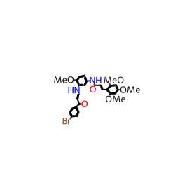 COc1cc(OC)c(/C=C/C(=O)Nc2ccc(OC)c(N/C=C/C(=O)c3ccc(Br)cc3)c2)c(OC)c1